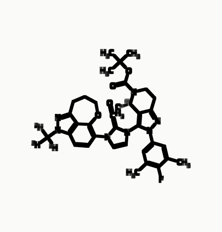 [2H]C([2H])([2H])n1nc2c3c(c(N4C=CN(c5c6c(nn5-c5cc(C)c(F)c(C)c5)CCN(C(=O)OC(C)(C)C)[C@H]6C)C4=C=O)ccc31)OCCC2